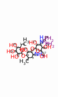 CCC1OC(OC2C(C)CC(N)C(OC3OC(CO)C(O)C(NP(P)P)C3O)C2O)C(O)C(O)C1O